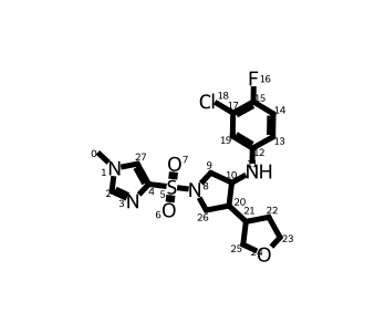 Cn1cnc(S(=O)(=O)N2CC(Nc3ccc(F)c(Cl)c3)C(C3CCOC3)C2)c1